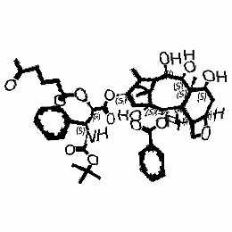 CC(=O)CCCC(=O)O[C@@H](C(=O)O[C@H]1C[C@@]2(O)[C@@H](OC(=O)c3ccccc3)[C@@H]3[C@@H]4CO[C@@H]4C[C@H](O)[C@@]3(C)[C@H](O)[C@H](O)C(C1C)C2(C)C)[C@@H](NC(=O)OC(C)(C)C)c1ccccc1